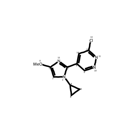 COc1cn(C2CC2)c(-c2cnnc(Cl)c2)n1